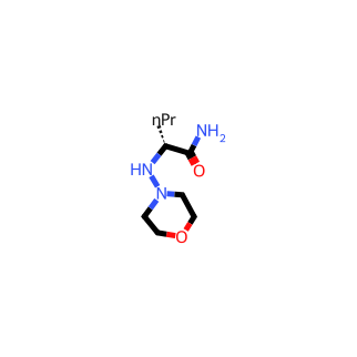 CCC[C@@H](NN1CCOCC1)C(N)=O